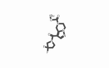 CC(C)(C)OC(=O)N1CCn2ncc(C(=O)N3CCC(F)(F)C3)c2C1